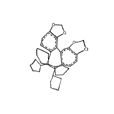 c1cc(P(C2CCCC2)C2CCCC2)c(-c2c(P(C3CCCC3)C3CCCC3)ccc3c2OCO3)c2c1OCO2